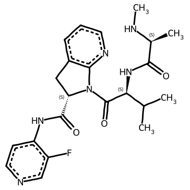 CN[C@@H](C)C(=O)N[C@H](C(=O)N1c2ncccc2C[C@H]1C(=O)Nc1ccncc1F)C(C)C